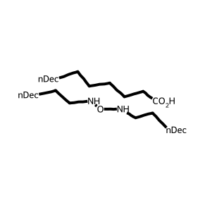 CCCCCCCCCCCCCCCC(=O)O.CCCCCCCCCCCCNONCCCCCCCCCCCC